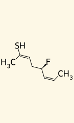 C/C=C\[C@H](F)C/C=C(\C)S